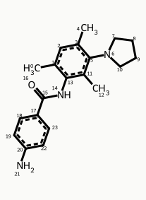 Cc1cc(C)c(N2CCCC2)c(C)c1NC(=O)c1ccc(N)cc1